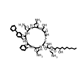 CCCCCCC[C@@H](O)CC(=O)N[C@H](CCN)C(=O)N[C@H]1CCNC(=O)[C@H]([C@@H](C)O)NC(=O)[C@H](CCN)NC(=O)[C@H](CCN)NC(=O)[C@H](Cc2ccc(-c3ccccc3)cc2)NC(=O)[C@@H](Cc2ccccc2)NC(=O)[C@H](CCN)NC1=O